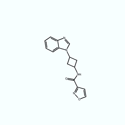 O=C(NC1CC(n2cnc3ccccc32)C1)c1ccon1